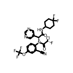 N#Cc1cc(OC(F)(F)F)ccc1N(C(=O)[C@@H](F)Cl)[C@H](C(=O)NC1CCC(F)(F)CC1)c1cncnc1